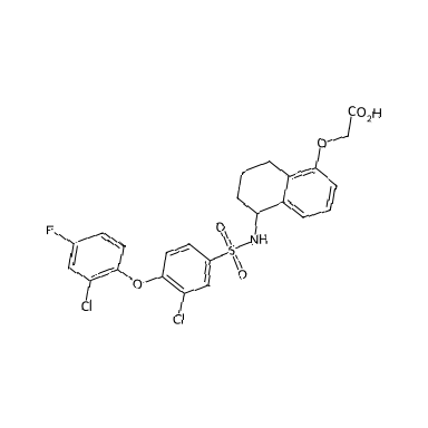 O=C(O)COc1cccc2c1CCCC2NS(=O)(=O)c1ccc(Oc2ccc(F)cc2Cl)c(Cl)c1